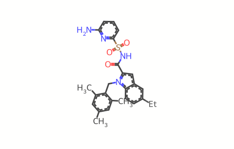 CCc1ccc2c(c1)cc(C(=O)NS(=O)(=O)c1cccc(N)n1)n2Cc1c(C)cc(C)cc1C